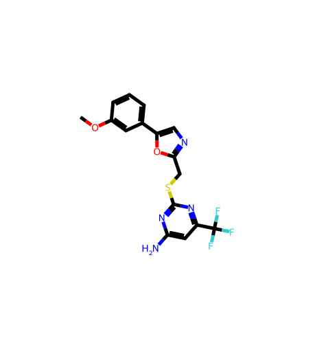 COc1cccc(-c2cnc(CSc3nc(N)cc(C(F)(F)F)n3)o2)c1